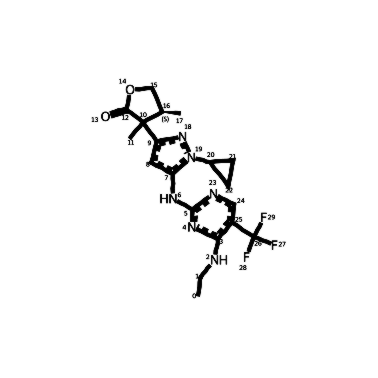 CCNc1nc(Nc2cc(C3(C)C(=O)OC[C@H]3C)nn2C2CC2)ncc1C(F)(F)F